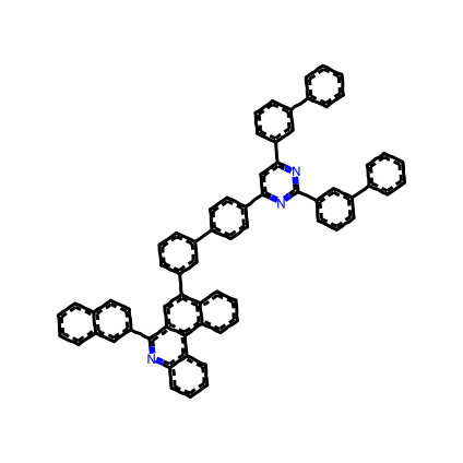 c1ccc(-c2cccc(-c3cc(-c4ccc(-c5cccc(-c6cc7c(-c8ccc9ccccc9c8)nc8ccccc8c7c7ccccc67)c5)cc4)nc(-c4cccc(-c5ccccc5)c4)n3)c2)cc1